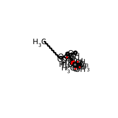 CCCCCCCCCCCCCCCC1OCC(COC(=O)O[C@@H](C(=O)O[C@H]2C[C@@]3(O)[C@@H](C)[C@H]4[C@H](C(=O)[C@H](C)C(=C2C)C3(C)C)[C@@H](O)C[C@H]2OC[C@@]42C)[C@@H](NC(=O)c2ccccc2)c2ccccc2)O1